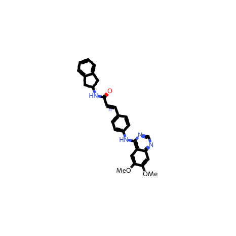 COc1cc2ncnc(Nc3ccc(/C=C/C(=O)NC4Cc5ccccc5C4)cc3)c2cc1OC